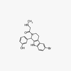 CNCC(=O)N1CCc2c([nH]c3ccc(Br)cc23)C1c1cccc(O)c1